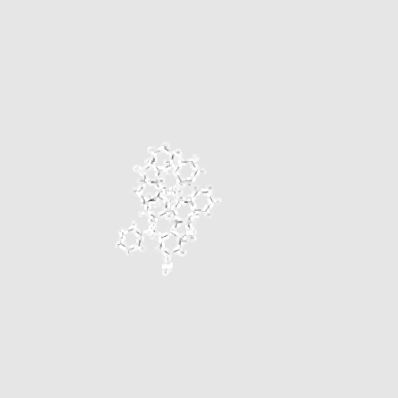 Clc1cc(N(c2ccccc2)c2ccccc2)c2c(c1)oc1c3ccccc3c(N(c3ccccc3)c3cccc4sc5ccccc5c34)cc12